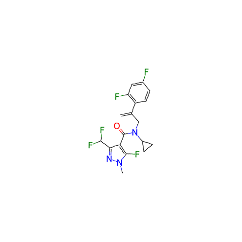 C=C(CN(C(=O)c1c(C(F)F)nn(C)c1F)C1CC1)c1ccc(F)cc1F